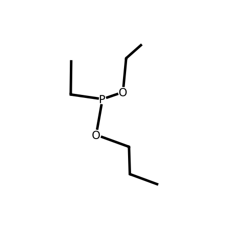 CCCOP(CC)OCC